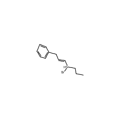 CCC[SiH](Br)C=CCc1ccccc1